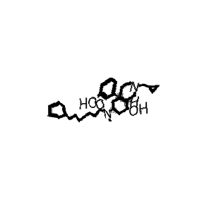 CN(C(=O)CCCCCc1ccccc1)[C@@H]1CC(O)[C@@H]2CN(CC3CC3)CC[C@@]2(c2cccc(O)c2)C1